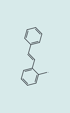 [CH2]c1ccccc1/C=C/c1ccccc1